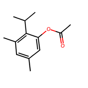 CC(=O)Oc1cc(C)cc(C)c1C(C)C